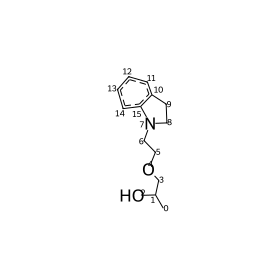 CC(O)COCCN1CCc2ccccc21